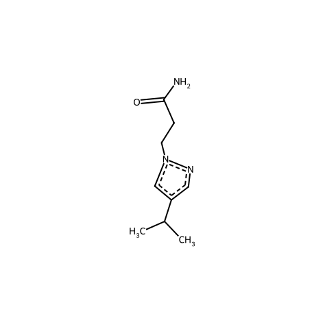 CC(C)c1cnn(CCC(N)=O)c1